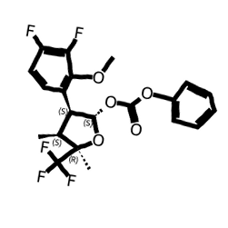 COc1c([C@H]2[C@H](OC(=O)Oc3ccccc3)O[C@@](C)(C(F)(F)F)[C@H]2C)ccc(F)c1F